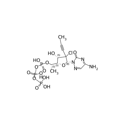 CC#CC1(Cl)[C@@H](O)[C@@H]([C@H](C)OP(=O)(O)OP(=O)(O)OP(=O)(O)O)O[C@H]1n1ncc(N)nc1=O